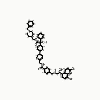 O=C(NCc1ccc(-c2ccc(C(O)(C(=O)OCC3CCN(Cc4ccccc4)CC3)c3ccccc3)cc2)cn1)c1ccc(CNC[C@H](O)c2ccc(O)c3[nH]c(=O)ccc23)cc1